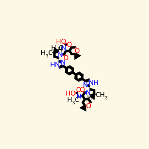 CN(C(=O)O)C(C(=O)N1[C@H](c2nc(-c3ccc(-c4ccc(-c5c[nH]c([C@@H]6C[C@@]7(C)C[C@H]7N6C(=O)C(C6CCOC7(CC7)C6)N(C)C(=O)O)n5)cc4)cc3)c[nH]2)C[C@@]2(C)C[C@@H]12)C1CCOC2(CC2)C1